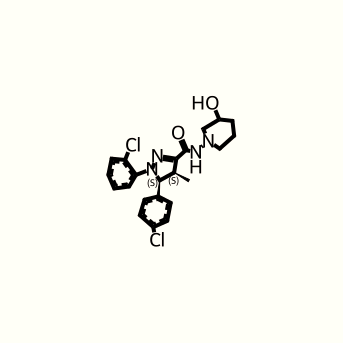 C[C@@H]1C(C(=O)NN2CCCC(O)C2)=NN(c2ccccc2Cl)[C@@H]1c1ccc(Cl)cc1